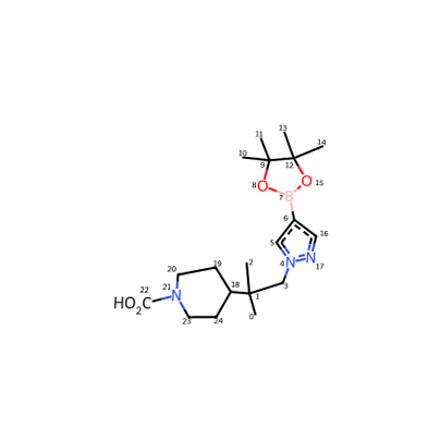 CC(C)(Cn1cc(B2OC(C)(C)C(C)(C)O2)cn1)C1CCN(C(=O)O)CC1